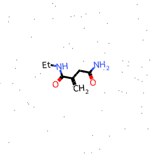 C=C(CC(N)=O)C(=O)NCC